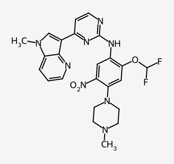 CN1CCN(c2cc(OC(F)F)c(Nc3nccc(-c4cn(C)c5cccnc45)n3)cc2[N+](=O)[O-])CC1